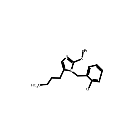 CCCSc1ncc(CCCC(=O)O)n1Cc1ccccc1Cl